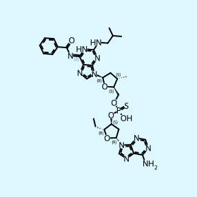 CC[C@H]1O[C@@H](n2cnc3c(N)ncnc32)C[C@@H]1OP(O)(=S)OC[C@H]1O[C@@H](n2cnc3/c(=N/C(=O)c4ccccc4)[nH]c(NCC(C)C)nc32)C[C@@H]1C